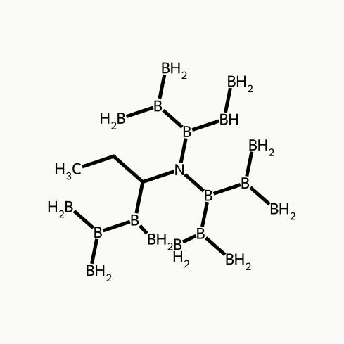 BBB(B(B)B)N(B(B(B)B)B(B)B)C(CC)B(B)B(B)B